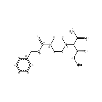 CC(C)(C)OC(=O)C(C(=N)N)N1CCN(C(=O)OCc2ccccc2)CC1